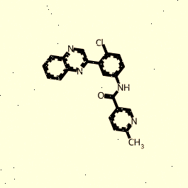 Cc1ccc(C(=O)Nc2ccc(Cl)c(-c3cnc4ccccc4n3)c2)cn1